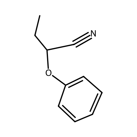 CCC(C#N)Oc1ccccc1